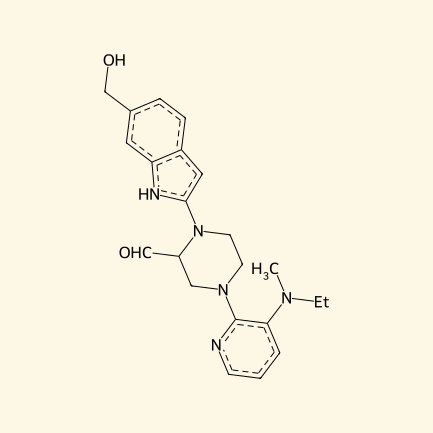 CCN(C)c1cccnc1N1CCN(c2cc3ccc(CO)cc3[nH]2)C(C=O)C1